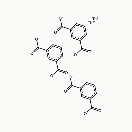 O=C([O-])c1cccc(C(=O)[O-])c1.O=C([O-])c1cccc(C(=O)[O-])c1.O=C([O-])c1cccc(C(=O)[O-])c1.[Tb+3].[Tb+3]